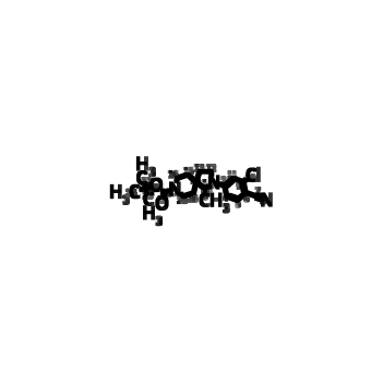 C[C@@H]1N(c2ccc(C#N)c(Cl)c2)CCC12CCN(C(=O)OC(C)(C)C)CC2